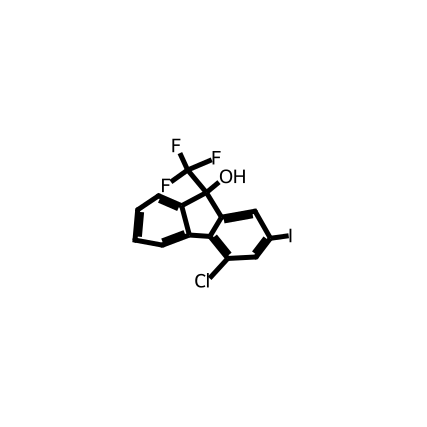 OC1(C(F)(F)F)c2ccccc2-c2c(Cl)cc(I)cc21